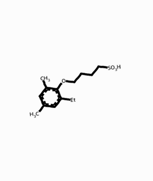 CCc1cc(C)cc(C)c1OCCCCS(=O)(=O)O